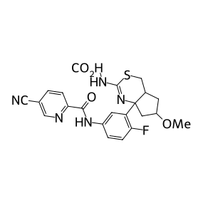 COC1CC2CSC(NC(=O)O)=NC2(c2cc(NC(=O)c3ccc(C#N)cn3)ccc2F)C1